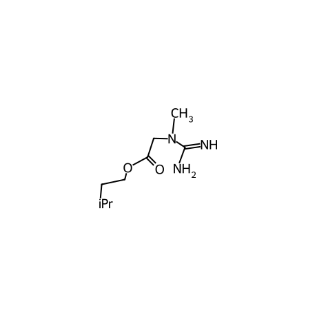 CC(C)CCOC(=O)CN(C)C(=N)N